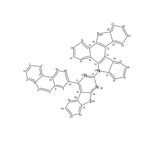 c1ccc2c(c1)ccc1cc(-c3nc(-n4c5ccccc5c5c6c7ccccc7sc6c6ccccc6c54)nc4sc5ccccc5c34)ccc12